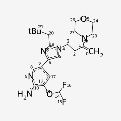 C=C(CCn1cc(-c2cnc(N)c(OC(F)F)c2)nc1CC(C)(C)C)N1CCOCC1